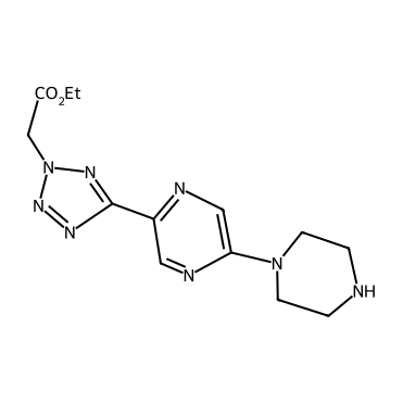 CCOC(=O)Cn1nnc(-c2cnc(N3CCNCC3)cn2)n1